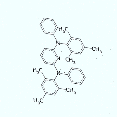 Cc1cc(C)c(N(c2ccccc2)c2cccc(N(c3ccccc3)c3c(C)cc(C)cc3C)n2)c(C)c1